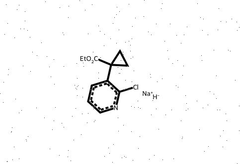 CCOC(=O)C1(c2cccnc2Cl)CC1.[H-].[Na+]